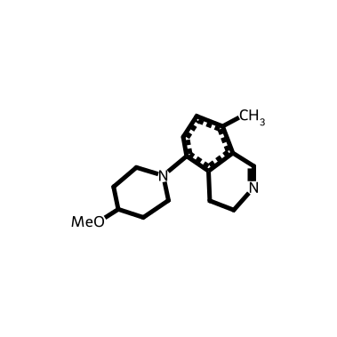 COC1CCN(c2ccc(C)c3c2CCN=C3)CC1